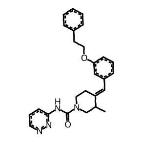 CC1CN(C(=O)Nc2cccnn2)CC/C1=C\c1cccc(OCCc2ccccc2)c1